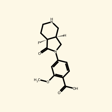 COc1cc(N2C[C@@H]3CNCC[C@]3(F)C2=O)ccc1C(=O)O